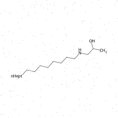 CCCCCCCCCCCCCCCNCC(C)O